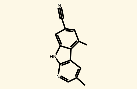 Cc1cnc2[nH]c3cc(C#N)cc(C)c3c2c1